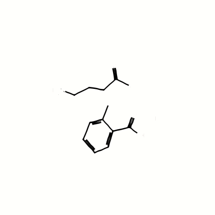 NCCCC(=O)O.O=C(O)c1ccccc1O.[CaH2]